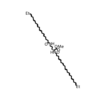 CCC=CCC=CCC=CCC=CCC=CCC=CCCC(=O)N[C@@H](CCCNC(=O)CCCC=CCC=CCC=CCC=CCC=CCC)C(=O)OC